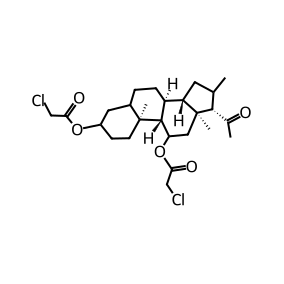 CC(=O)[C@H]1C(C)C[C@H]2[C@@H]3CCC4CC(OC(=O)CCl)CC[C@]4(C)[C@H]3C(OC(=O)CCl)C[C@]12C